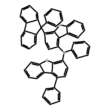 c1ccc(-c2ccc(N(c3ccccc3)c3ccc(C4(c5ccccc5)c5ccccc5-c5ccccc54)c4oc5ccccc5c34)c3sc4ccccc4c23)cc1